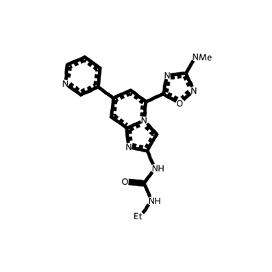 CCNC(=O)Nc1cn2c(-c3nc(NC)no3)cc(-c3cccnc3)cc2n1